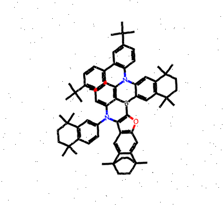 Cc1cc2c3c(c1)N(c1ccc4c(c1)C(C)(C)CCC4(C)C)c1c(oc4cc5c(cc14)C1(C)CCC5(C)CC1)B3c1cc3c(cc1N2c1ccc(C(C)(C)C)cc1-c1ccc(C(C)(C)C)cc1)C(C)(C)CCC3(C)C